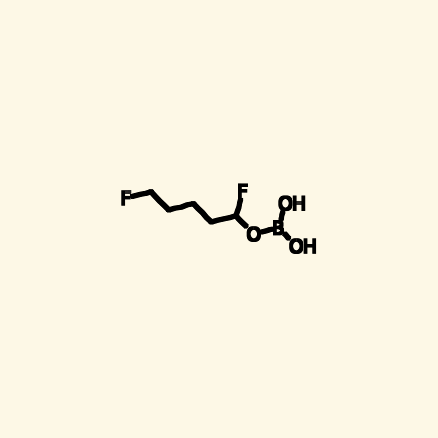 OB(O)OC(F)CCCCF